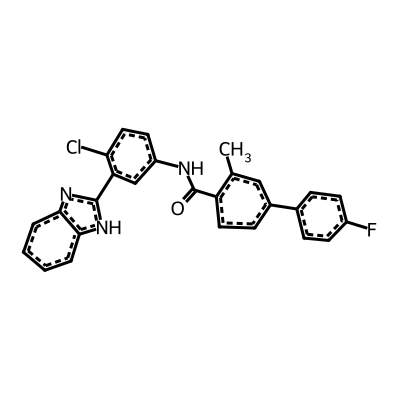 Cc1cc(-c2ccc(F)cc2)ccc1C(=O)Nc1ccc(Cl)c(-c2nc3ccccc3[nH]2)c1